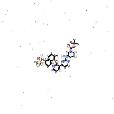 Cc1ccc2c(NS(=O)(=O)CCl)cccc2c1Oc1ncccc1-c1ccnc(NC2CCCN(C(=O)OC(C)(C)C)C2)n1